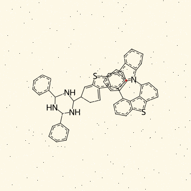 C1=c2sc3cccc(-c4cccc5sc6cccc(-n7c8ccccc8c8ccccc87)c6c45)c3c2=CCC1C1NC(c2ccccc2)NC(c2ccccc2)N1